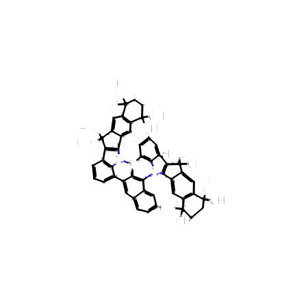 CC1(C)CCC(C)(C)c2cc3c(cc21)-c1c(c2cccc4c2n1B1c2c-4cc4ccccc4c2-n2c4c(c5cccc1c52)C(C)(C)c1cc2c(cc1-4)C(C)(C)CCC2(C)C)C3(C)C